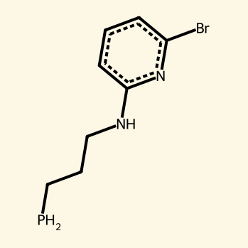 PCCCNc1cccc(Br)n1